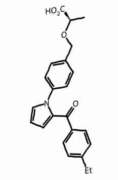 CCc1ccc(C(=O)c2cccn2-c2ccc(CO[C@H](C)C(=O)O)cc2)cc1